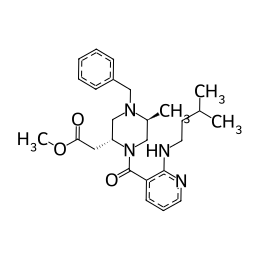 COC(=O)C[C@@H]1CN(Cc2ccccc2)[C@@H](C)CN1C(=O)c1cccnc1NCCC(C)C